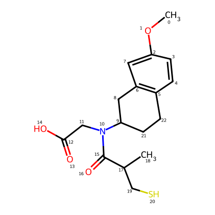 COc1ccc2c(c1)CC(N(CC(=O)O)C(=O)C(C)CS)CC2